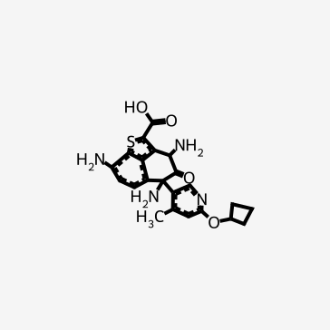 Cc1cc(OC2CCC2)ncc1C1(N)C(=O)C(N)c2c(C(=O)O)sc3c(N)ccc1c23